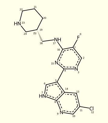 Fc1cnc(-c2c[nH]c3ncc(Cl)cc23)nc1NC[C@H]1CCCNC1